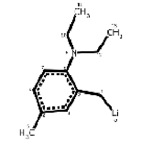 [Li][CH2]c1cc(C)ccc1N(CC)CC